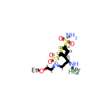 CCCN[C@H]1CN(CCOCC)S(=O)(=O)c2sc(S(N)(=O)=O)cc21.Cl